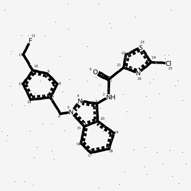 O=C(Nc1nn(Cc2ccc(CF)cc2)c2ccccc12)c1csc(Cl)n1